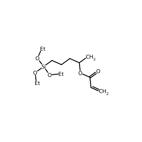 C=CC(=O)OC(C)CCC[Si](OCC)(OCC)OCC